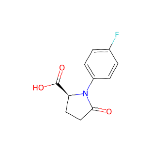 O=C(O)[C@@H]1CCC(=O)N1c1ccc(F)cc1